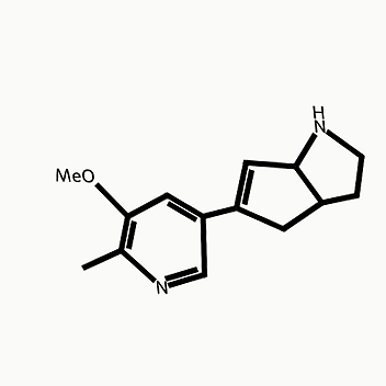 COc1cc(C2=CC3NCCC3C2)cnc1C